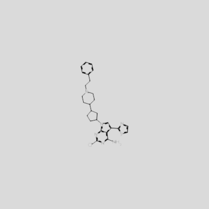 Nc1nc(Cl)nc2c1c(-c1nccs1)cn2C1CCC(C2CCN(CCc3ccccc3)CC2)C1